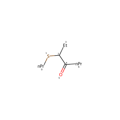 CCCSC(CC)C(=O)CCC